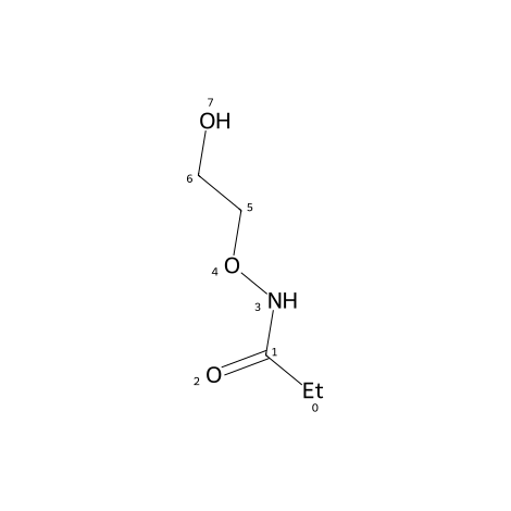 CCC(=O)NOCCO